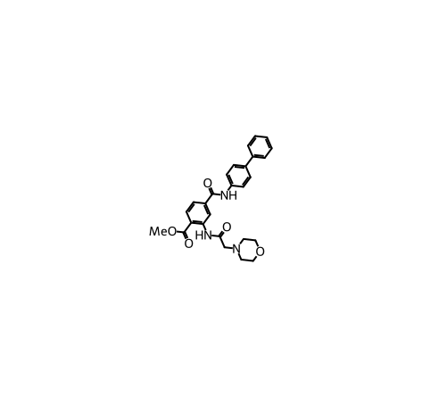 COC(=O)c1ccc(C(=O)Nc2ccc(-c3ccccc3)cc2)cc1NC(=O)CN1CCOCC1